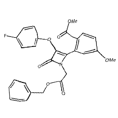 COC(=O)c1ccc(OC)cc1C1=C(Oc2ccc(F)cc2)C(=O)N1CC(=O)OCc1ccccc1